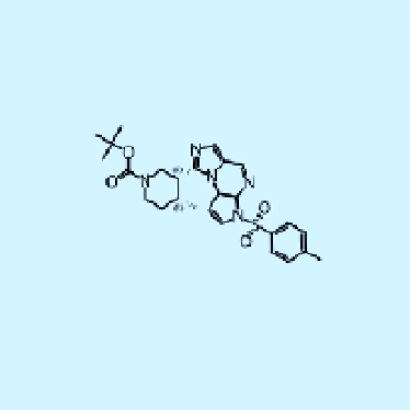 Cc1ccc(S(=O)(=O)N2C=CC3C2N=Cc2cnc([C@H]4CN(C(=O)OC(C)(C)C)CC[C@H]4C)n23)cc1